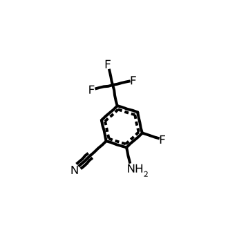 N#Cc1cc(C(F)(F)F)cc(F)c1N